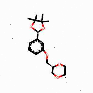 CC1(C)OB(c2cccc(OC[C@@H]3COCCO3)c2)OC1(C)C